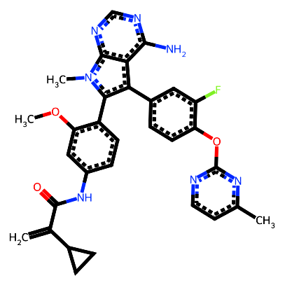 C=C(C(=O)Nc1ccc(-c2c(-c3ccc(Oc4nccc(C)n4)c(F)c3)c3c(N)ncnc3n2C)c(OC)c1)C1CC1